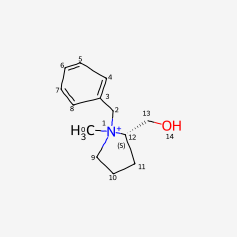 C[N+]1(Cc2ccccc2)CCC[C@H]1CO